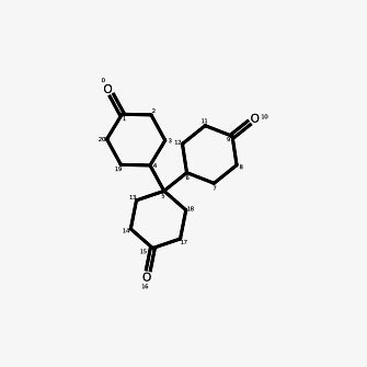 O=C1CCC(C2(C3CCC(=O)CC3)CCC(=O)CC2)CC1